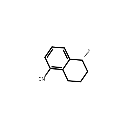 [C-]#[N+]c1cccc2c1CCC[C@H]2C